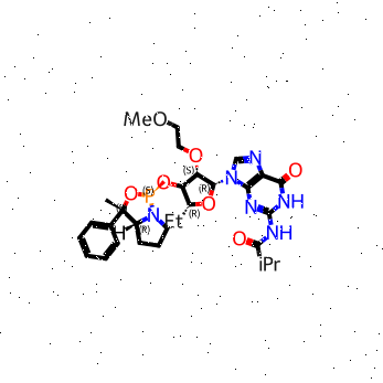 CC[C@H]1O[C@@H](n2cnc3c(=O)[nH]c(NC(=O)C(C)C)nc32)[C@@H](OCCOC)C1O[P@]1O[C@@](C)(c2ccccc2)[C@H]2CCCN21